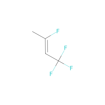 CC(F)=CC(F)(F)F